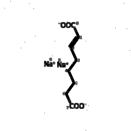 O=C([O-])C=CCCCCC(=O)[O-].[Na+].[Na+]